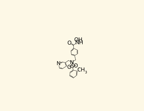 Cc1ccccc1S(=O)(=O)N(Cc1ccc(C(=O)NO)cc1)Cc1cccnc1